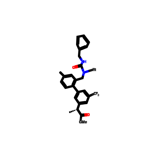 CCN(Cc1cc(C)ccc1-c1cc([C@@H](C)C(=O)OC)cc(C(F)(F)F)c1)C(=O)NCc1ccccc1